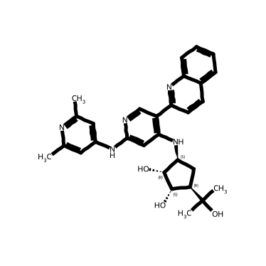 Cc1cc(Nc2cc(N[C@H]3C[C@@H](C(C)(C)O)[C@H](O)[C@@H]3O)c(-c3ccc4ccccc4n3)cn2)cc(C)n1